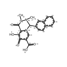 CN1C(=O)c2c(O)c(=O)c(C(=O)O)cn2C(c2ccc3ccccc3c2)N1C